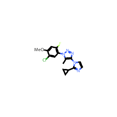 COc1cc(F)c(-n2nnc(-n3ccnc3C3CC3)c2C)cc1Cl